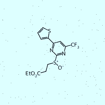 CCOC(=O)CC[S+]([O-])c1nc(-c2cccs2)cc(C(F)(F)F)n1